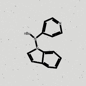 CCCCN(c1ccncc1)n1ccc2ccccc21